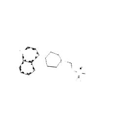 CS(=O)(=O)OC[C@H]1CC[C@H](c2ccnc3ccccc32)CC1